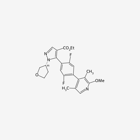 CCOC(=O)c1cnn([C@@H]2CCOC2)c1-c1cc(F)c(-c2c(C)cnc(OC)c2C)cc1F